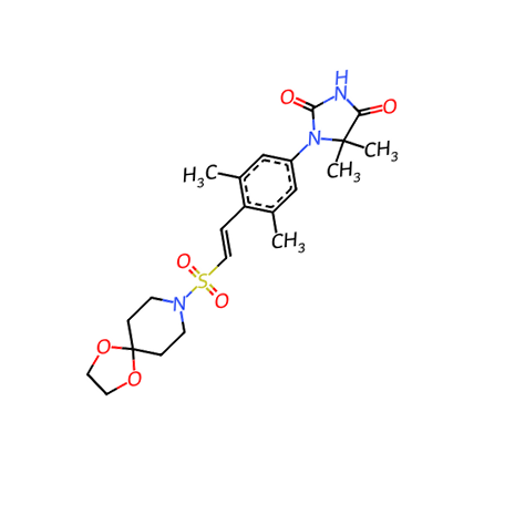 Cc1cc(N2C(=O)NC(=O)C2(C)C)cc(C)c1C=CS(=O)(=O)N1CCC2(CC1)OCCO2